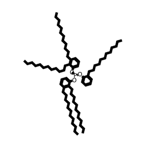 CCCCCCCCCCCCc1ccccc1OP(Oc1cccc(CCCCCCCCCCCC)c1CCCCCCCCCCCC)Oc1cccc(CCCCCCCCCCCC)c1CCCCCCCCCCCC